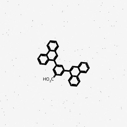 O=C(O)c1cc(-c2cc3ccccc3c3ccccc23)cc(-c2cc3ccccc3c3ccccc23)c1